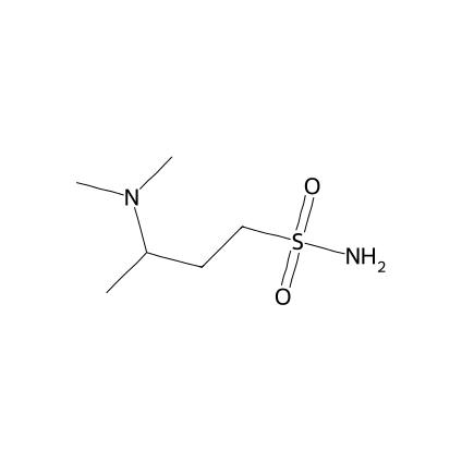 CC(CCS(N)(=O)=O)N(C)C